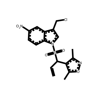 C=CC(c1c(C)noc1C)S(=O)(=O)n1cc(CCl)c2cc([N+](=O)[O-])ccc21